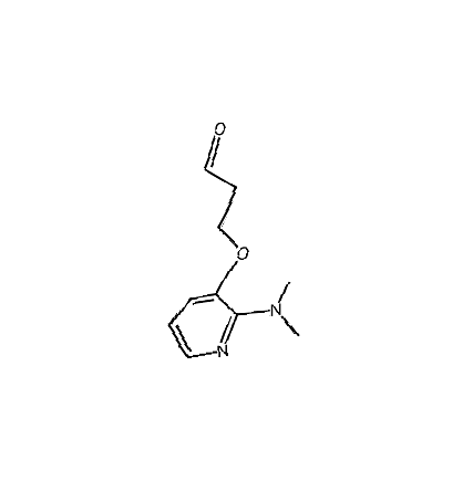 CN(C)c1ncccc1OCCC=O